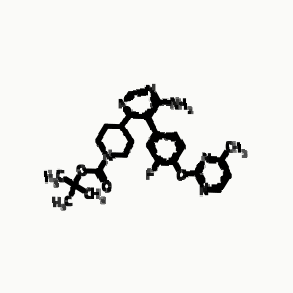 Cc1ccnc(Oc2ccc(-c3c(N)ncnc3C3CCN(C(=O)OC(C)(C)C)CC3)cc2F)n1